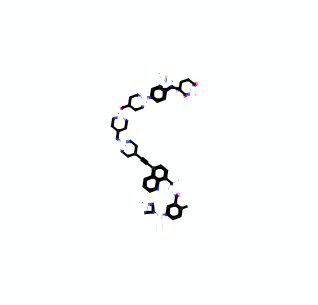 Cc1ccc(NC2CNC2)cc1C(=O)N[C@H](C)c1ccc(C#CC2CCN(CC3CCN(C(=O)C4CCN(c5ccc6c([C@@]7(C)CCC(=O)NC7=O)nn(C)c6c5)CC4)CC3)CC2)c2ccccc12